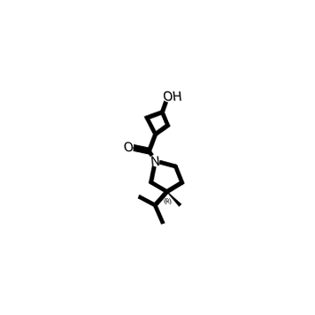 CC(C)[C@@]1(C)CCN(C(=O)C2CC(O)C2)C1